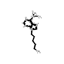 CCCCCCn1cnc2c(N(C)C)ncnc21